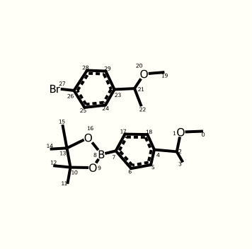 COC(C)c1ccc(B2OC(C)(C)C(C)(C)O2)cc1.COC(C)c1ccc(Br)cc1